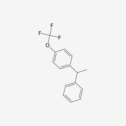 CC(c1ccccc1)c1ccc(OC(F)(F)F)cc1